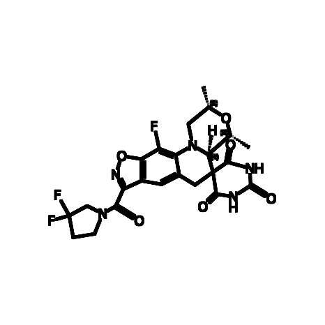 C[C@H]1CN2c3c(cc4c(C(=O)N5CCC(F)(F)C5)noc4c3F)CC3(C(=O)NC(=O)NC3=O)[C@@H]2[C@@H](C)O1